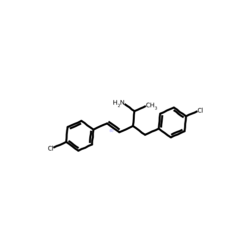 CC(N)C(/C=C/c1ccc(Cl)cc1)Cc1ccc(Cl)cc1